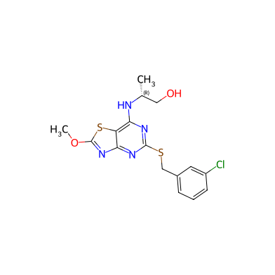 COc1nc2nc(SCc3cccc(Cl)c3)nc(N[C@H](C)CO)c2s1